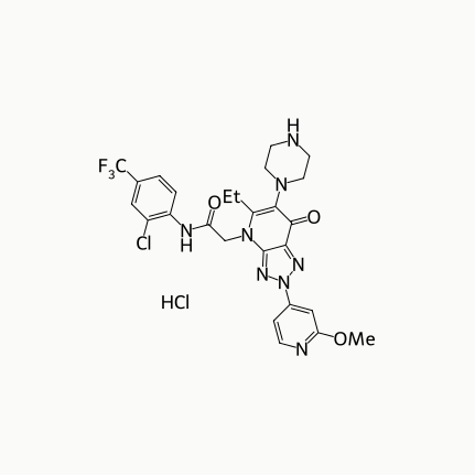 CCc1c(N2CCNCC2)c(=O)c2nn(-c3ccnc(OC)c3)nc2n1CC(=O)Nc1ccc(C(F)(F)F)cc1Cl.Cl